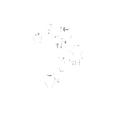 O=C(Nc1cccc(-c2ccnc3c(C(=O)c4cccs4)cnn23)c1)OCc1ccccn1